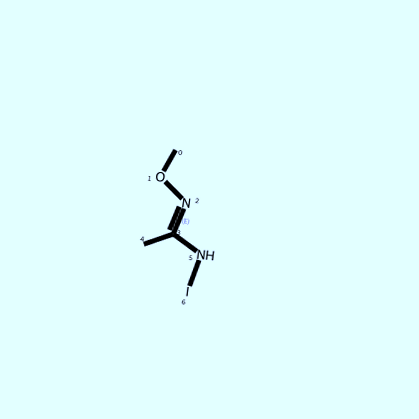 CO/N=C(\C)NI